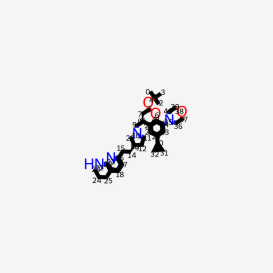 CC(C)(C)OC(=O)C[C@H](CN1CC[C@@H](CCc2ccc3c(n2)NCCC3)C1)c1cc(C2CC2)cc(N2CCOCC2)c1